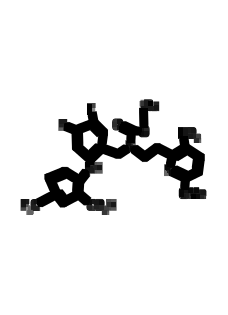 COc1ccc([N+](=O)[O-])c(CCN(Cc2cc(F)c(F)cc2Nc2ccc(C(F)(F)F)cc2C(=O)O)C(=O)OC(C)(C)C)n1